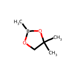 CB1OCC(C)(C)O1